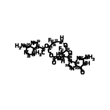 C[C@@H](O[C@@H]1CO[PH](=O)O[C@@H]2[C@H](F)C(OPC[C@H]1F)O[C@H]2n1cnc2c(=O)[nH]c(N)nc21)n1cnc2c(N)ncnc21